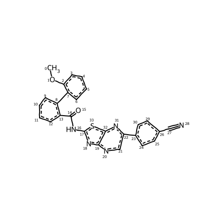 COc1ccccc1-c1ccccc1C(=O)Nc1nc2ncc(-c3ccc(C#N)cc3)nc2s1